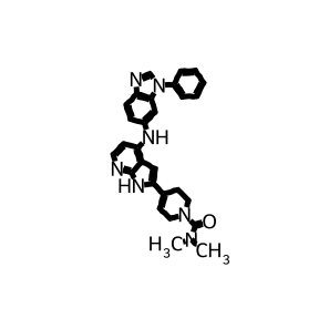 CN(C)C(=O)N1CC=C(c2cc3c(Nc4ccc5ncn(-c6ccccc6)c5c4)ccnc3[nH]2)CC1